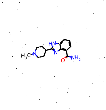 CN1CCC(c2nc3c(C(N)=O)cccc3[nH]2)CC1